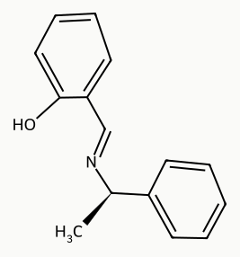 C[C@@H](/N=C/c1ccccc1O)c1ccccc1